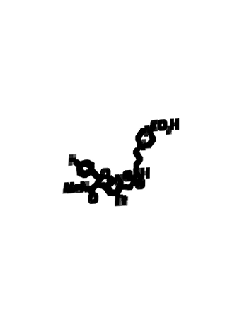 CCc1cc2c(C(=O)NC)c(-c3ccc(F)cc3)oc2nc1CS(=O)(=O)NCCCN1CCN(C(=O)O)CC1